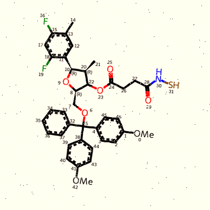 COc1ccc(C(OC[C@H]2O[C@@H](c3cc(C)c(F)cc3F)[C@@H](C)C2OC(=O)CCC(=O)NS)(c2ccccc2)c2ccc(OC)cc2)cc1